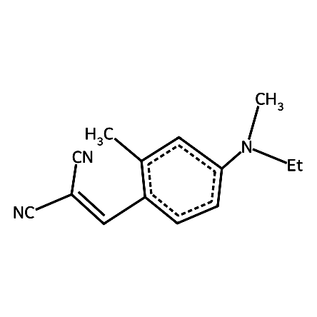 CCN(C)c1ccc(C=C(C#N)C#N)c(C)c1